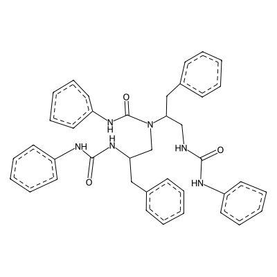 O=C(NCC(Cc1ccccc1)N(CC(Cc1ccccc1)NC(=O)Nc1ccccc1)C(=O)Nc1ccccc1)Nc1ccccc1